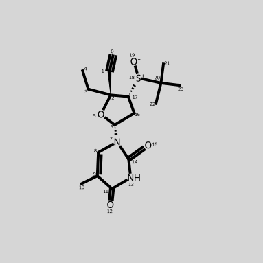 C#C[C@]1(CC)O[C@@H](n2cc(C)c(=O)[nH]c2=O)C[C@H]1[S+]([O-])C(C)(C)C